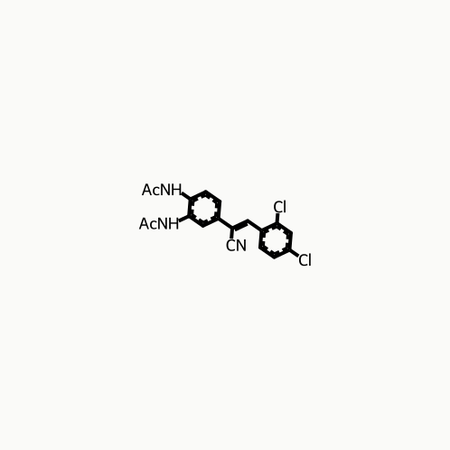 CC(=O)Nc1ccc(/C(C#N)=C/c2ccc(Cl)cc2Cl)cc1NC(C)=O